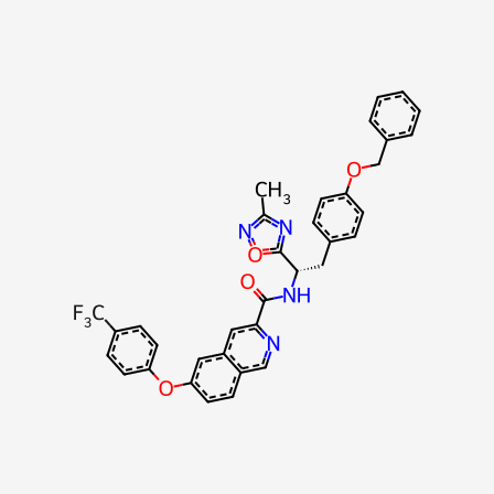 Cc1noc([C@H](Cc2ccc(OCc3ccccc3)cc2)NC(=O)c2cc3cc(Oc4ccc(C(F)(F)F)cc4)ccc3cn2)n1